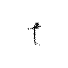 CCCCCCCCCCCCCCCC(CCC)OC(=O)c1ccccc1C(=O)O